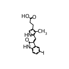 Cc1c(CCC(=O)O)c[nH]c1C=C1C(=O)Nc2ccc(I)cc21